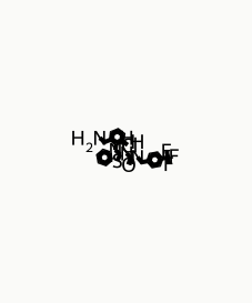 NCc1cccc(Cl)c1N1c2ccccc2SC1NC(=O)NCc1ccc(C(F)(F)F)cc1